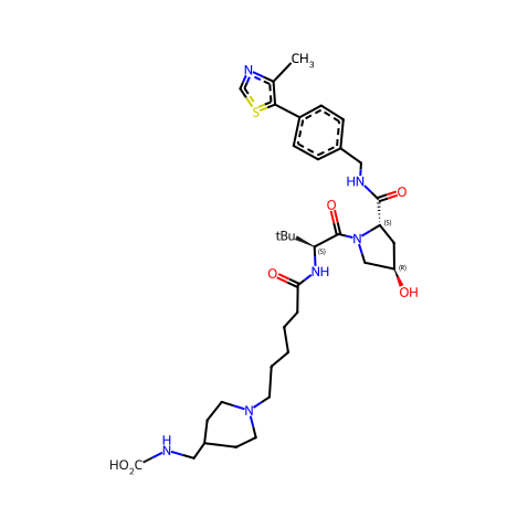 Cc1ncsc1-c1ccc(CNC(=O)[C@@H]2C[C@@H](O)CN2C(=O)[C@@H](NC(=O)CCCCCN2CCC(CNC(=O)O)CC2)C(C)(C)C)cc1